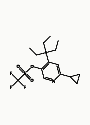 CCS(CC)(CC)c1cc(C2CC2)ncc1OS(=O)(=O)C(F)(F)F